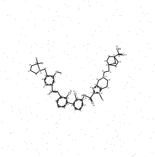 COc1cc(/C(F)=C/c2cccc(-c3cccc(NC(=O)c4nc5c(n4C)CCN(CCC46CCC(C(=O)O)(CC4)C6)C5)c3Cl)c2Cl)ncc1CN1CCCC1(C)C